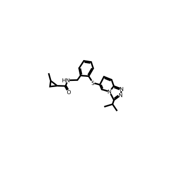 CC(C)c1nnc2ccc(Sc3ccccc3CNC(=O)C3CC3C)cn12